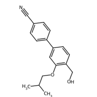 CC(C)COc1cc(-c2ccc(C#N)cc2)ccc1CO